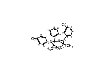 CC1(C)C(c2cccc(Cl)c2)C1C1(c2ccccc2)[C](c2ccc(Cl)cc2)C1(C)C